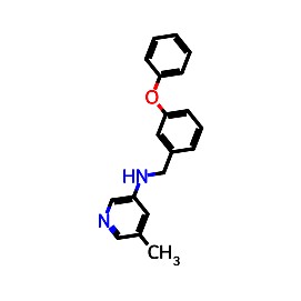 Cc1cncc(NCc2cccc(Oc3ccccc3)c2)c1